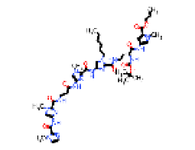 C=CCOC(=O)c1cc(NC(=O)[C@@H](CCNC(=O)c2nc(NC(=O)c3nc(NC(=O)CCNC(=O)c4nc(NC(=O)c5nccn5C)cn4C)cn3C)cn2CCCCCC)NC(=O)OC(C)(C)C)cn1C